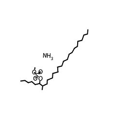 CCCCCCCCCCCCCCCCCCC(C)C(CCCCC)OS(=O)(=O)OC.N